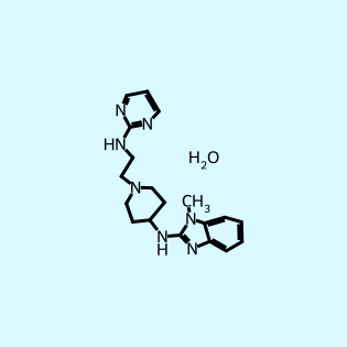 Cn1c(NC2CCN(CCNc3ncccn3)CC2)nc2ccccc21.O